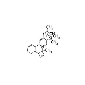 CC(C)CC1=CC2C3C=CCCC3C3C=CC3(C)N2CC1[Si](C)(C)C